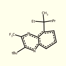 CCCC(C)(CC)c1cccc2nc(C(C)(C)C)c(C(F)(F)F)nc12